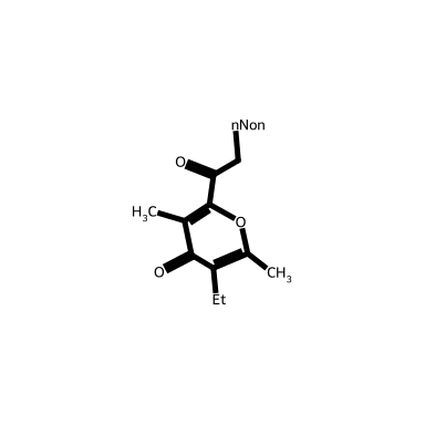 CCCCCCCCCCC(=O)c1oc(C)c(CC)c(=O)c1C